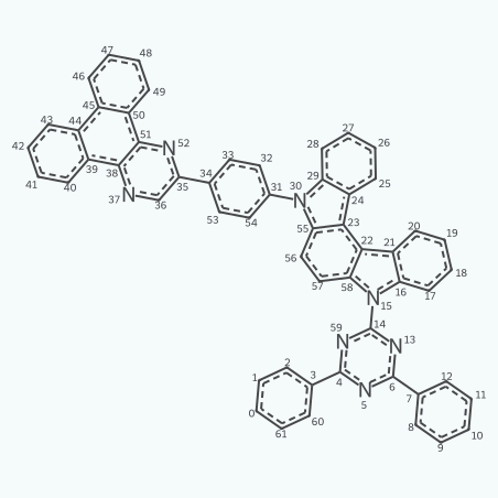 c1ccc(-c2nc(-c3ccccc3)nc(-n3c4ccccc4c4c5c6ccccc6n(-c6ccc(-c7cnc8c9ccccc9c9ccccc9c8n7)cc6)c5ccc43)n2)cc1